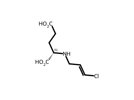 O=C(O)CC[C@H](NCC=CCl)C(=O)O